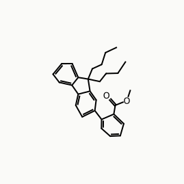 CCCCC1(CCCC)c2ccccc2-c2ccc(-c3ccccc3C(=O)OC)cc21